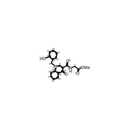 COC(=O)CNC(=O)c1cn(Cc2ccccc2O)c2ccccc2c1=O